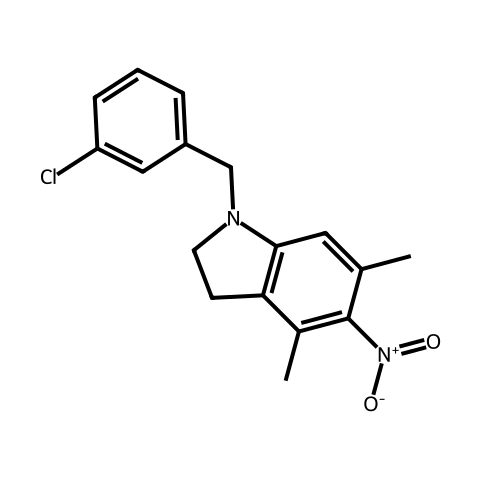 Cc1cc2c(c(C)c1[N+](=O)[O-])CCN2Cc1cccc(Cl)c1